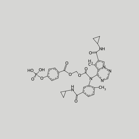 Cc1ccc(C(=O)NC2CC2)cc1N(C(=O)OCOC(=O)c1ccc(OP(=O)(O)O)cc1)c1ncnn2cc(C(=O)NC3CC3)c(C)c12